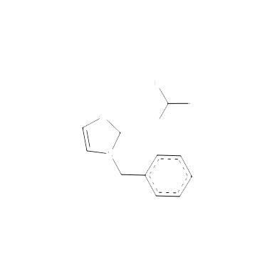 C1=CN(Cc2ccccc2)CS1.FC(F)F